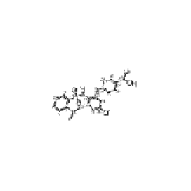 CC(C)c1ccccc1S(=O)(=O)Nc1ccc(Cl)cc1Oc1ccc(C(=O)O)cc1